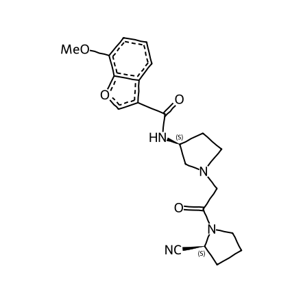 COc1cccc2c(C(=O)N[C@H]3CCN(CC(=O)N4CCC[C@H]4C#N)C3)coc12